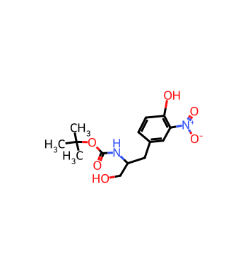 CC(C)(C)OC(=O)NC(CO)Cc1ccc(O)c([N+](=O)[O-])c1